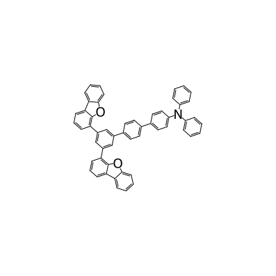 c1ccc(N(c2ccccc2)c2ccc(-c3ccc(-c4cc(-c5cccc6c5oc5ccccc56)cc(-c5cccc6c5oc5ccccc56)c4)cc3)cc2)cc1